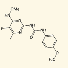 CONc1nc(NC(=O)Nc2ccc(OC(F)(F)F)cc2)nc(C)c1F